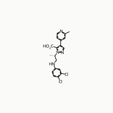 Cc1cc(-c2cnn([C@@H](C)CNc3ccc(Cl)c(Cl)c3)c2C(=O)O)ccn1